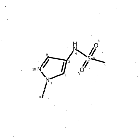 Cn1cc(NS(C)(=O)=O)cn1